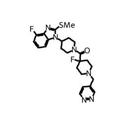 CSc1nc2c(F)cccc2n1C1CCN(C(=O)C2(F)CCN(Cc3ccnnc3)CC2)CC1